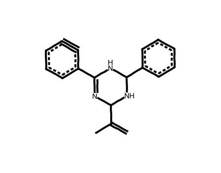 C=C(C)C1N=C(c2c#cccc2)NC(c2ccccc2)N1